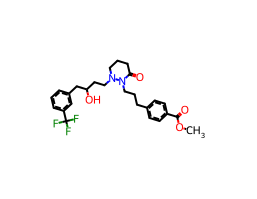 COC(=O)c1ccc(CCCN2C(=O)CCCN2CCC(O)Cc2cccc(C(F)(F)F)c2)cc1